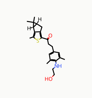 Cc1cc(CCC(=O)c2sc(C)c3c2C[C@@H]2[C@H]3C2(C)C)cc(C)c1NCCO